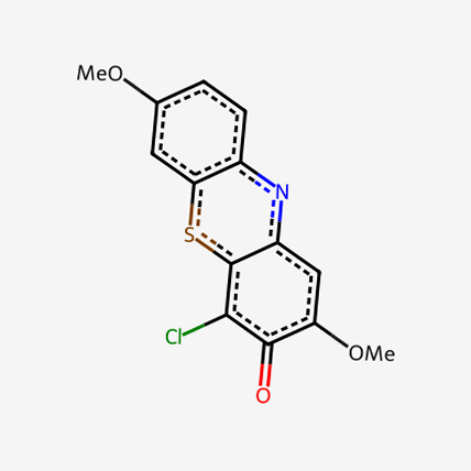 COc1ccc2nc3cc(OC)c(=O)c(Cl)c-3sc2c1